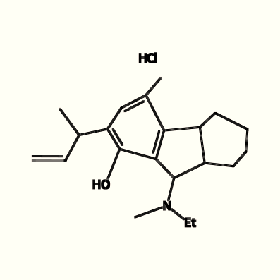 C=CC(C)c1cc(C)c2c(c1O)C(N(C)CC)C1CCCCC21.Cl